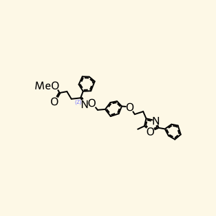 COC(=O)CC/C(=N/OCc1ccc(OCCc2nc(-c3ccccc3)oc2C)cc1)c1ccccc1